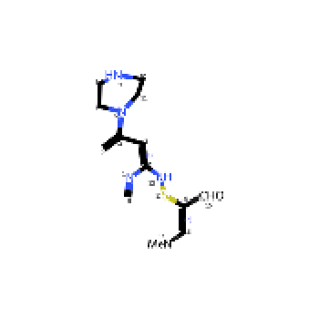 C=N/C(=C\C(=C)N1CCNCC1)NS/C(C=O)=C\NC